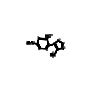 CNc1ccc(-c2scnc2C)cc1.Cl